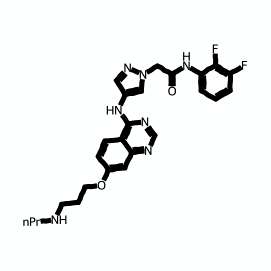 CCCNCCCOc1ccc2c(Nc3cnn(CC(=O)Nc4cccc(F)c4F)c3)ncnc2c1